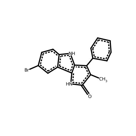 Cc1c(-c2ccccc2)c2[nH]c3ccc(Br)cc3c2[nH]c1=O